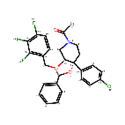 CCC(=O)N1CC[C@@](OCc2ccccc2)(c2ccc(Cl)cc2)[C@@H](OCc2ccc(F)c(F)c2F)C1